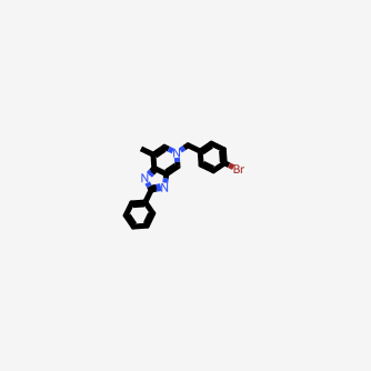 Cc1cn(Cc2ccc(Br)cc2)cc2nc(-c3ccccc3)nc1-2